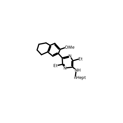 CCCCCCCNc1nc(CC)c(-c2cc3c(cc2OC)CCCC3)nc1CC